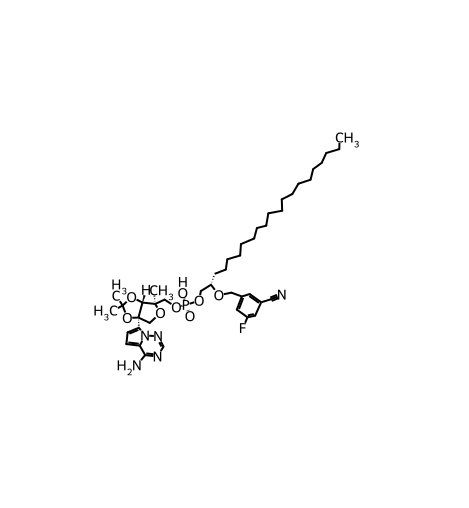 CCCCCCCCCCCCCCCCCCC[C@@H](COP(=O)(O)OC[C@@]1(C)OC[C@@]2(c3ccc4c(N)ncnn34)OC(C)(C)O[C@H]12)OCc1cc(F)cc(C#N)c1